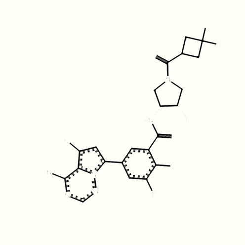 CCc1c(F)cc(-c2cc(C(F)(F)F)c3c(N)ncnn23)cc1C(=O)N[C@@H]1CN(C(=O)C2CC(F)(F)C2)C[C@@H]1F